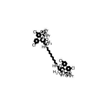 CC(C)[C@@H](CS(=O)(=O)C(C)C)N1C(=O)[C@@](C)(CC(=O)NCCCCCCCCCCCNC(=O)C[C@@]2(C)C[C@H](c3cccc(Cl)c3)[C@@H](c3ccc(Cl)cc3)N([C@H](CS(=O)(=O)C(C)C)C(C)C)C2=O)C[C@H](c2cccc(Cl)c2)[C@H]1c1ccc(Cl)cc1